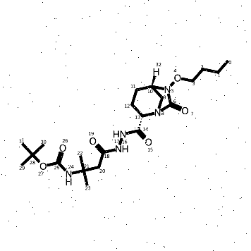 CCCCON1C(=O)N2C[C@@H]1CC[C@H]2C(=O)NNC(=O)CC(C)(C)NC(=O)OC(C)(C)C